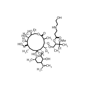 CC[C@@H]1OC(=O)C(C)[C@H](OO[C@@H](C)[C@@H](OC(=O)CCNCCO)C(C)(CC)OC)[C@@H](C)[C@H](OC2O[C@H](C)CC(N(C)C)[C@@H]2O)C(C)(O)C[C@H](C)/C(=N/O)C(C)[C@@H](O)[C@@]1(C)O